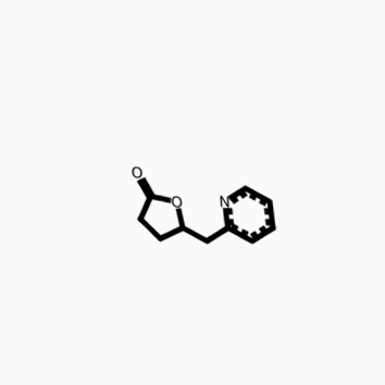 O=C1CCC(Cc2ccccn2)O1